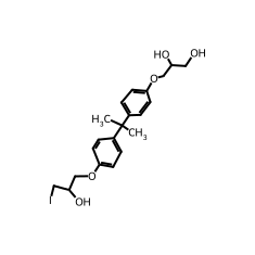 CC(C)(c1ccc(OCC(O)CO)cc1)c1ccc(OCC(O)CI)cc1